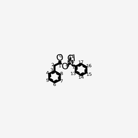 O=C(Cc1ccccc1)ON(Cl)c1ccccc1